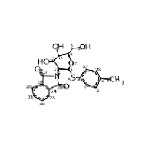 Cc1ccc(SC2OC(CO)C(O)C(O)C2N2C(=O)c3ccccc3C2=O)cc1